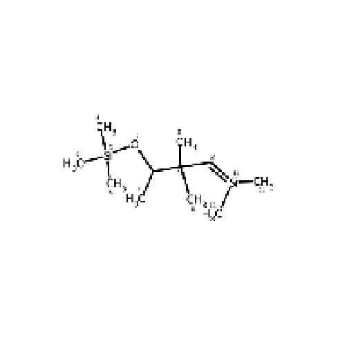 CC(O[Si](C)(C)C)C(C)(C)C=[Si](C)C